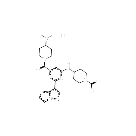 CCC(=O)N1CCC(Nc2cc(C(=O)N3CCC(N(C)C(=O)O)CC3)nc(-c3cnn4ccsc34)n2)CC1